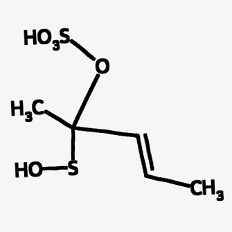 CC=CC(C)(OS(=O)(=O)O)SO